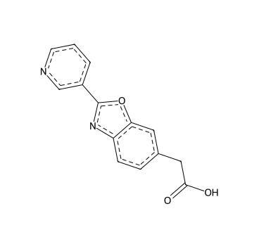 O=C(O)Cc1ccc2nc(-c3cccnc3)oc2c1